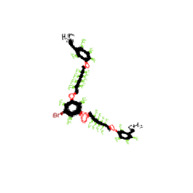 C=Cc1c(F)c(F)c(F)c(OCC(F)(F)C(F)(F)C(F)(F)C(F)(F)COc2c(F)c(Br)c(F)c(OCC(F)(F)C(F)(F)C(F)(F)C(F)(F)COc3c(F)c(F)c(F)c(C=C)c3F)c2F)c1F